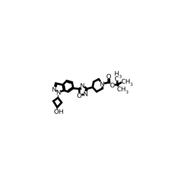 CC(C)(C)OC(=O)N1CCC(c2noc(-c3ccc4cnn([C@H]5C[C@@H](O)C5)c4c3)n2)CC1